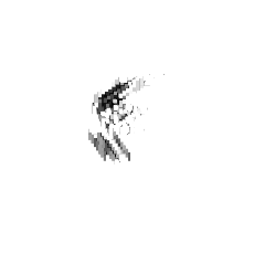 Cl.Cl.Cl.Cl.Cl.Cl.Cl.Cl.Cl.Cl.Cl.Cl.Cl.Cl.Cl.Cl.NCC(=O)[O-].NCC(=O)[O-].NCC(=O)[O-].NCC(=O)[O-].[Al].[Zr+4]